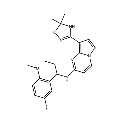 CCC(Nc1ccn2ncc(C3=NOC(C)(C)N3)c2n1)c1cc(F)ccc1OC